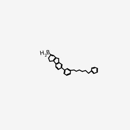 BC1=CC2=C(CC1)c1ccc(-c3cccc(CCCCCCc4ccccc4)c3)cc1C2